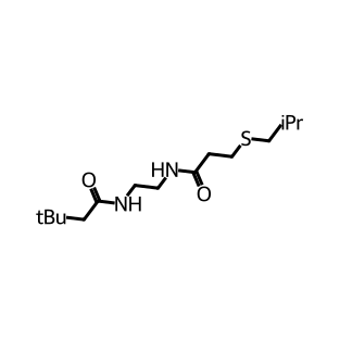 CC(C)CSCCC(=O)NCCNC(=O)CC(C)(C)C